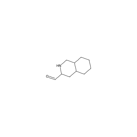 O=CC1CC2CCCCC2CN1